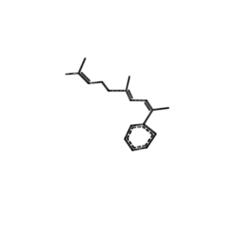 CC(C)=CCC/C(C)=C/C=C(/C)c1ccccc1